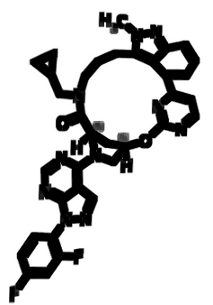 Cn1nc2cccc3c2c1CCCN(CC1CC1)C(=O)[C@@H]1C[C@@H](CN1c1ncnc2c1cnn2-c1ccc(F)cc1F)Oc1nccc-3n1